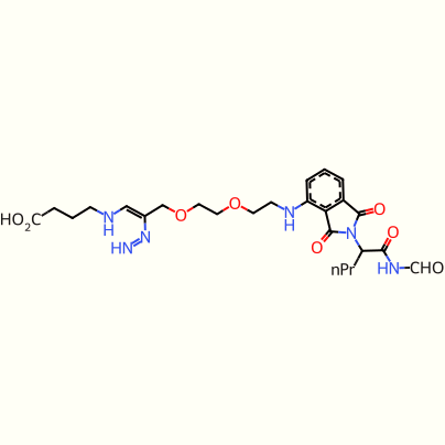 CCCC(C(=O)NC=O)N1C(=O)c2cccc(NCCOCCOC/C(=C/NCCCC(=O)O)N=N)c2C1=O